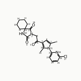 Cc1cc(C(=O)CN2C(=O)NC3(CCCCC3)C2=O)c(C)n1-c1cccc(Cl)n1